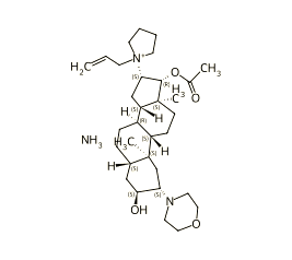 C=CC[N+]1([C@H]2C[C@H]3[C@@H]4CC[C@H]5C[C@H](O)[C@@H](N6CCOCC6)C[C@]5(C)[C@H]4CC[C@]3(C)[C@H]2OC(C)=O)CCCC1.N